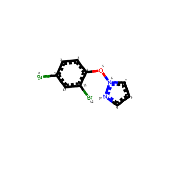 Brc1ccc(On2c[c]cn2)c(Br)c1